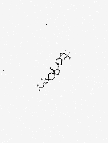 C[C@@H](Oc1ccc(N2CCC3(CCC(O)(COCC(F)F)CC3)C2=O)cc1)C(F)(F)F